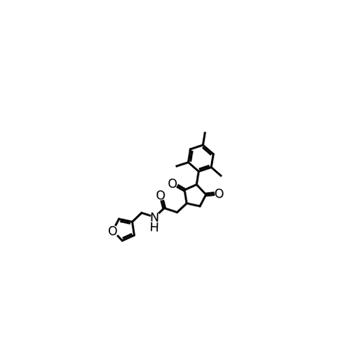 Cc1cc(C)c(C2C(=O)CC(CC(=O)NCc3ccoc3)C2=O)c(C)c1